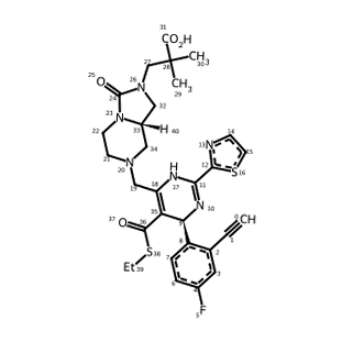 C#Cc1cc(F)ccc1[C@@H]1N=C(c2nccs2)NC(CN2CCN3C(=O)N(CC(C)(C)C(=O)O)C[C@@H]3C2)=C1C(=O)SCC